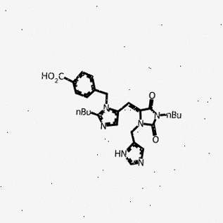 CCCCc1ncc(/C=C2/C(=O)N(CCCC)C(=O)N2Cc2cnc[nH]2)n1Cc1ccc(C(=O)O)cc1